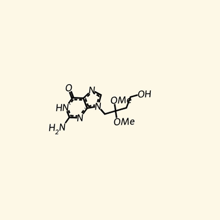 COC(CCO)(Cn1cnc2c(=O)[nH]c(N)nc21)OC